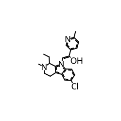 CCC1c2c(c3cc(Cl)ccc3n2/C=C(\O)c2ccc(C)nc2)CCN1C